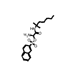 CCCCCC(C)(C)NC(=O)C(N)OS(=O)(=O)c1ccc2ccccc2c1